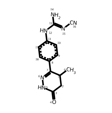 CC1CC(=O)NN=C1c1ccc(NC(N)=NC#N)cc1